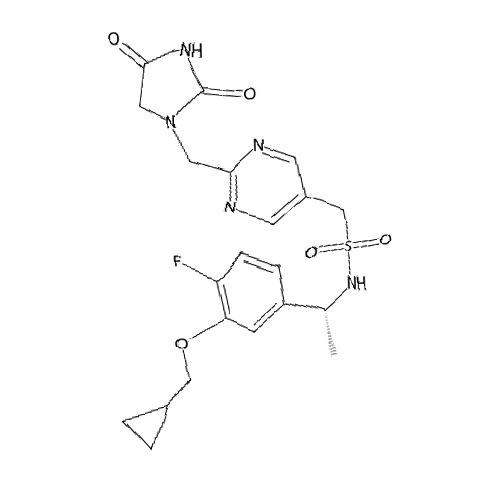 C[C@@H](NS(=O)(=O)Cc1cnc(CN2CC(=O)NC2=O)nc1)c1ccc(F)c(OCC2CC2)c1